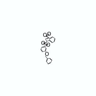 O=S1(=O)CC(S(=O)(=O)c2cccc(OCc3ccccc3)c2)c2ccccc21